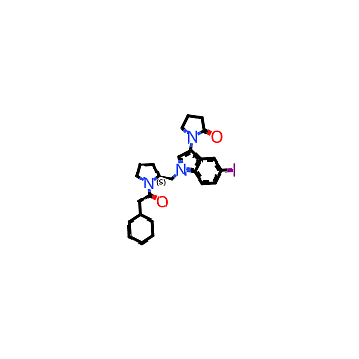 O=C1CCCN1c1cn(C[C@@H]2CCCN2C(=O)CC2CCCCC2)c2ccc(I)cc12